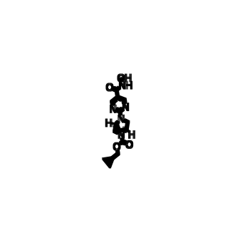 O=C(NO)c1cnc(N2C[C@@H]3C[C@H]2CN3C(=O)OCC2CC2)nc1